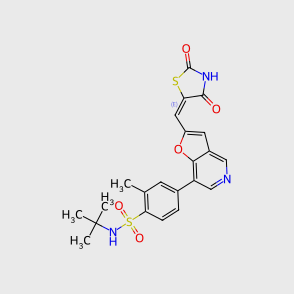 Cc1cc(-c2cncc3cc(/C=C4/SC(=O)NC4=O)oc23)ccc1S(=O)(=O)NC(C)(C)C